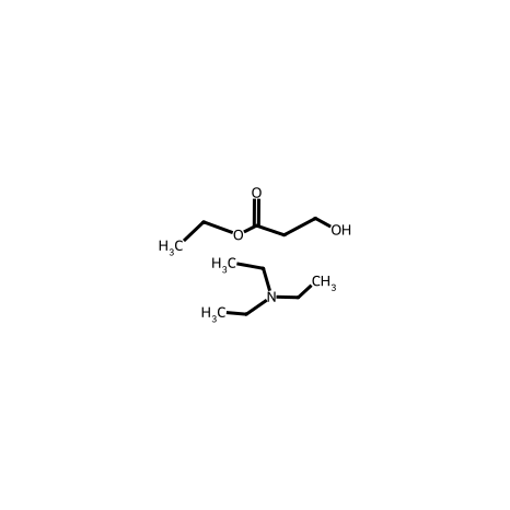 CCN(CC)CC.CCOC(=O)CCO